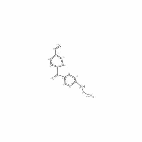 CCNc1ccc(C(=O)c2ccc(C=S)cc2)cc1